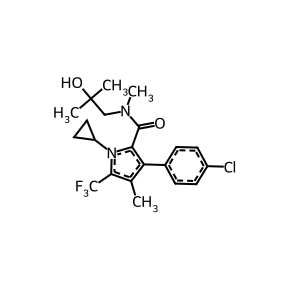 Cc1c(-c2ccc(Cl)cc2)c(C(=O)N(C)CC(C)(C)O)n(C2CC2)c1C(F)(F)F